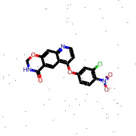 O=C1NCOc2cc3nccc(Oc4ccc([N+](=O)[O-])c(Cl)c4)c3cc21